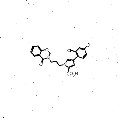 O=C(O)c1cc(-c2ccc(Cl)cc2Cl)cn1CCCN1COc2ccccc2C1=O